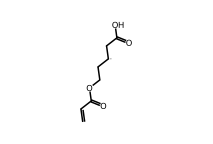 C=CC(=O)OCC[CH]CC(=O)O